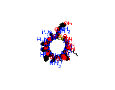 CC(O)C1NC(=O)C(Cc2ccccc2)NC(=O)C(C(C)O)NC(=O)C(CCCCN)NC(=O)C(Cc2c[nH]c3ccccc23)NC(=O)C(Cc2ccccc2)NC(=O)C(Cc2ccccc2)NC(=O)C(CC(N)=O)NC(=O)C(CCCCN)NC(=O)C(NC(=O)CNC(=O)C(N)Cc2ccc(O)cc2)CSSCC(C(=O)O)NC(=O)C(CO)NC1=O